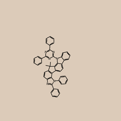 CC1(C)c2ccc3nc(-c4ccccc4)n(-c4ccccc4)c3c2-c2ccc3c4ccccc4n(-c4nc(-c5ccccc5)nc(-c5ccccc5)n4)c3c21